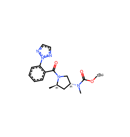 C[C@@H]1C[C@@H](N(C)C(=O)OC(C)(C)C)CN1C(=O)c1ccccc1-n1nccn1